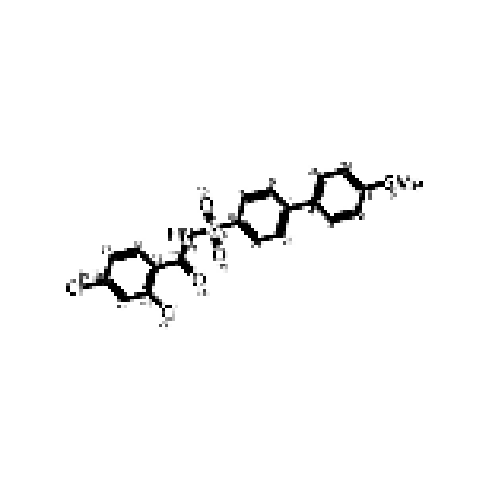 CSc1ccc(-c2ccc(S(=O)(=O)NC(=O)c3ccc(Cl)cc3Cl)cc2)cc1